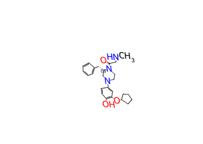 CNCC(=O)N1CCN(c2ccc(O)c(OC3CCCC3)c2)C[C@@H]1Cc1ccccc1